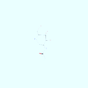 O=C(CF)NC1CNC(CO)C(O)C1O